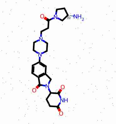 N[C@H]1CCN(C(=O)CCN2CCN(c3ccc4c(c3)CN(C3CCC(=O)NC3=O)C4=O)CC2)C1